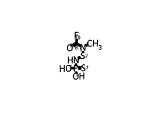 CN(SNP(O)(O)=S)C(=O)F